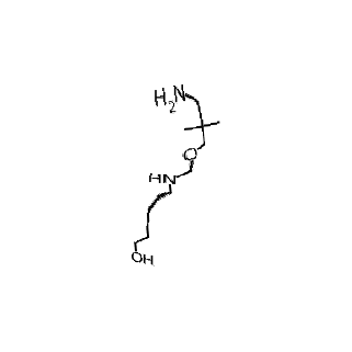 CC(C)(CN)COCNCCCCO